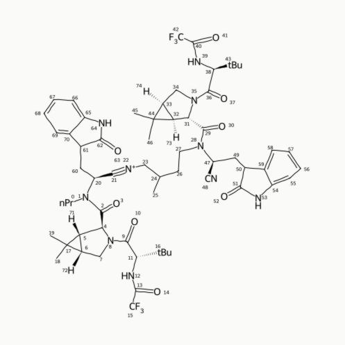 CCCN(C(=O)[C@@H]1[C@@H]2[C@H](CN1C(=O)[C@@H](NC(=O)C(F)(F)F)C(C)(C)C)C2(C)C)[C@H](C#[N+]CC(C)CCN(C(=O)[C@@H]1[C@@H]2[C@H](CN1C(=O)[C@@H](NC(=O)C(F)(F)F)C(C)(C)C)C2(C)C)[C@H](C#N)CC1C(=O)Nc2ccccc21)CC1C(=O)Nc2ccccc21